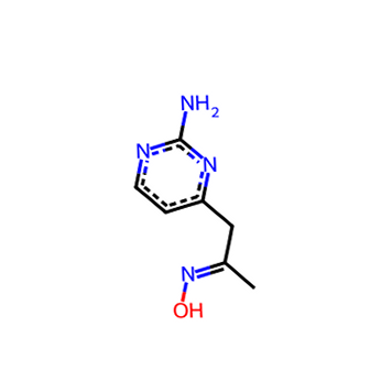 CC(Cc1ccnc(N)n1)=NO